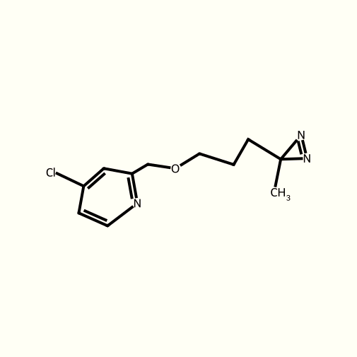 CC1(CCCOCc2cc(Cl)ccn2)N=N1